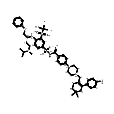 CC(C)N(C)CC[C@H](CSc1ccccc1)Nc1ccc(S(=O)(=O)NC(=O)c2ccc(N3CCN(CC4=C(c5ccc(Cl)cc5)CC(C)(C)CC4)CC3)cc2)cc1S(=O)(=O)C(F)(F)F